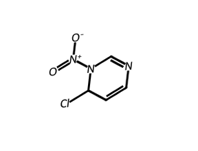 O=[N+]([O-])N1C=NC=CC1Cl